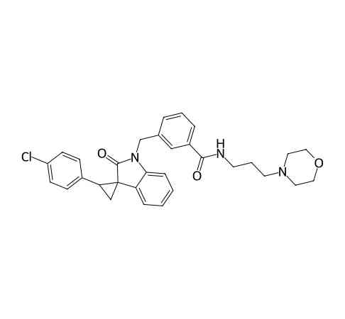 O=C(NCCCN1CCOCC1)c1cccc(CN2C(=O)C3(CC3c3ccc(Cl)cc3)c3ccccc32)c1